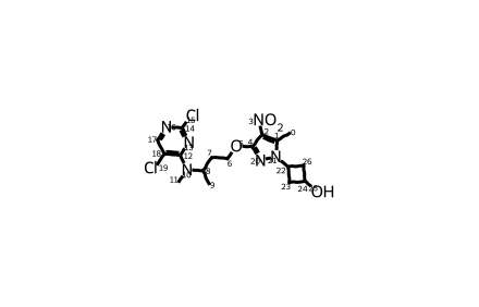 Cc1c([N+](=O)[O-])c(OCCC(C)N(C)c2nc(Cl)ncc2Cl)nn1C1CC(O)C1